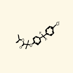 CC(C)OC(=O)C(C)(C)Oc1ccc(C(F)(F)c2ccc(Cl)cc2)cc1